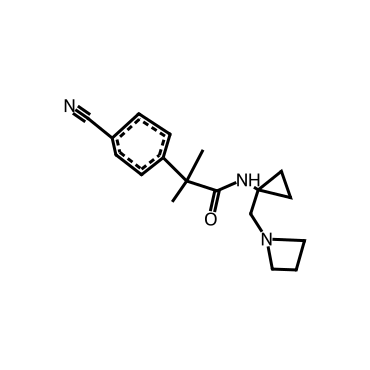 CC(C)(C(=O)NC1(CN2CCC2)CC1)c1ccc(C#N)cc1